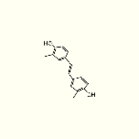 Cc1cc(C=Cc2ccc(O)c(C)c2)ccc1O